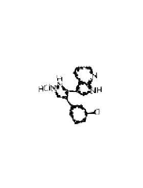 Cl.Clc1cccc(-c2cn[nH]c2-c2c[nH]c3ncccc23)c1